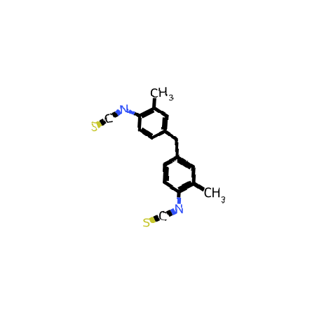 Cc1cc(Cc2ccc(N=C=S)c(C)c2)ccc1N=C=S